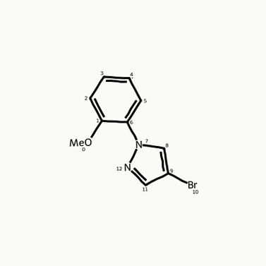 COc1cc[c]cc1-n1cc(Br)cn1